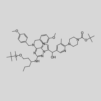 CCCC(CCO[Si](C)(C)C(C)(C)C)Nc1nc(N(Cc2ccc(OC)cc2)Cc2ccc(OC)cc2)c2ncc(C(O)c3cnc(N4CCN(C(=O)OC(C)(C)C)CC4)c(C)c3)n2n1